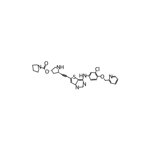 O=C(O[C@@H]1CN[C@@H](C#Cc2cc3ncnc(Nc4ccc(OCc5ccccn5)c(Cl)c4)c3s2)C1)N1CCCC1